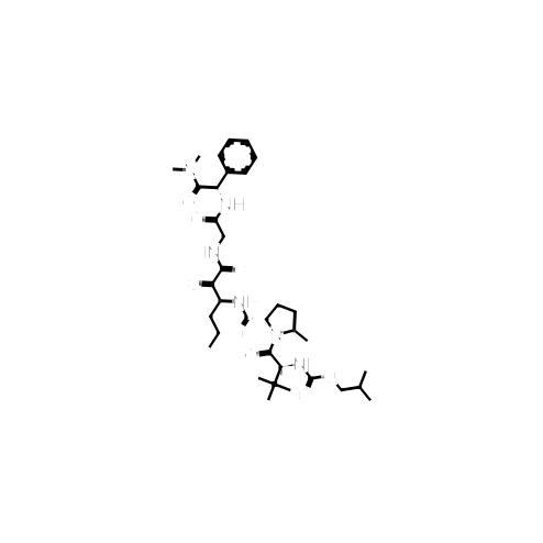 CCCC(NC(=O)[C@@H]1CCC(C)N1C(=O)[C@@H](NC(=O)OCC(C)C)C(C)(C)C)C(=O)C(=O)NCC(=O)N[C@H](C(=O)N(C)C)c1ccccc1